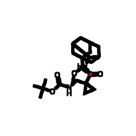 COC(=O)C12CC3CC(C1)C(NC(=O)C1(CNC(=O)OC(C)(C)C)CC1)C(C3)C2